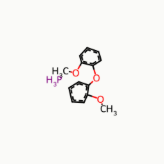 COc1ccccc1Oc1ccccc1OC.P